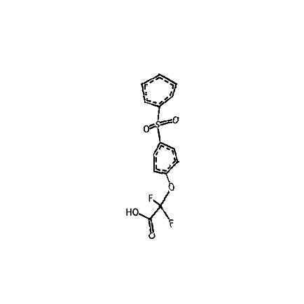 O=C(O)C(F)(F)Oc1ccc(S(=O)(=O)c2ccccc2)cc1